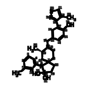 Cc1cccc(N2[C@@]3(CCN(Cc4ccc(O)c(-c5nscc5C)c4)[C@@H](C)C3)CCS2(O)O)n1